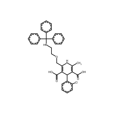 CC1=C(C(=O)O)C(c2ccccc2Cl)C(C(=O)O)=C(COCCNC(c2ccccc2)(c2ccccc2)c2ccccc2)N1